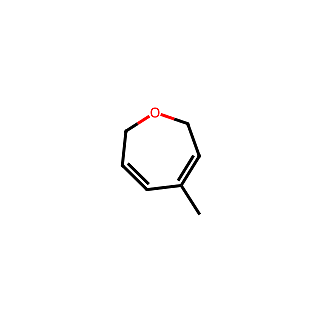 CC1=CCOCC=C1